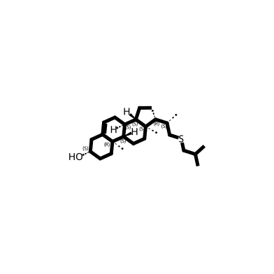 CC(C)CSC[C@@H](C)[C@H]1CC[C@H]2[C@@H]3CC=C4C[C@@H](O)CC[C@]4(C)[C@H]3CC[C@]12C